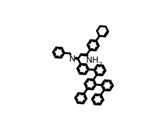 N/C(=C\C(=N/Cc1ccccc1)c1cccc(-c2ccccc2-c2ccc(-c3ccccc3)cc2-c2ccccc2-c2ccccc2)c1)c1ccc(C2C=CCCC2)cc1